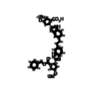 CC(C)(C)O[C@@H]1C[C@@H](c2nc3cc(CCc4ccc5nc([C@@H]6C[C@@H](OC(C)(C)C)CN6C(=O)OCc6ccccc6)[nH]c5c4)ccc3[nH]2)N(C(=O)O)C1